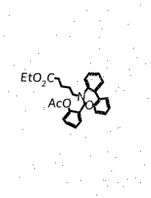 CCOC(=O)CCCCN(C(=O)c1ccccc1OC(C)=O)c1ccccc1-c1ccccc1